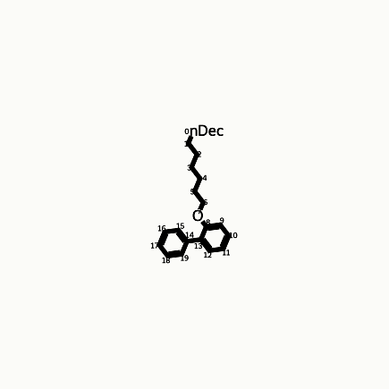 CCCCCCCCCCCCCCCCOc1ccccc1-c1ccccc1